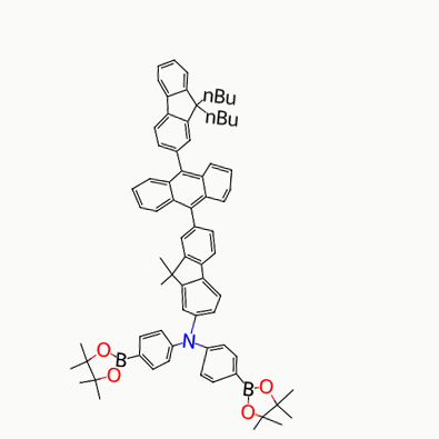 CCCCC1(CCCC)c2ccccc2-c2ccc(-c3c4ccccc4c(-c4ccc5c(c4)C(C)(C)c4cc(N(c6ccc(B7OC(C)(C)C(C)(C)O7)cc6)c6ccc(B7OC(C)(C)C(C)(C)O7)cc6)ccc4-5)c4ccccc34)cc21